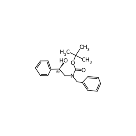 CC(C)(C)OC(=O)N(Cc1ccccc1)C[C@H](O)c1ccccc1